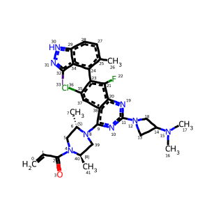 C=CC(=O)N1C[C@H](C)N(c2nc(N3CC(N(C)C)C3)nc3c(F)c(-c4c(C)ccc5[nH]nc(I)c45)c(Cl)cc23)C[C@H]1C